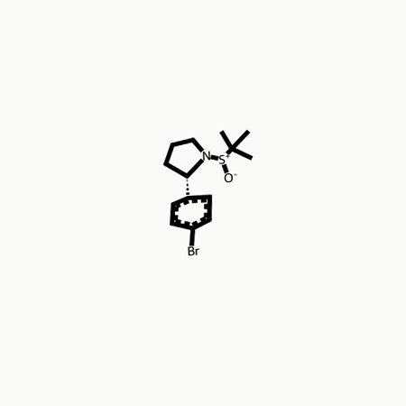 CC(C)(C)[S+]([O-])N1CCC[C@H]1c1ccc(Br)cc1